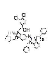 N=c1n(Cc2ccccc2)c2ccc(/N=c3\n(Cc4ccccc4)c4ccccc4n3CC(O)c3ccccc3)cc2n1CC(O)c1ccc(Cl)c(Cl)c1